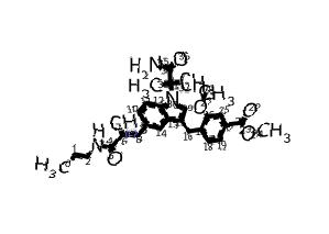 CCCNC(=O)/C(C)=C/c1ccc2c(c1)c(Cc1ccc(C(=O)OC)cc1OC)cn2C(C)(C)C(N)=O